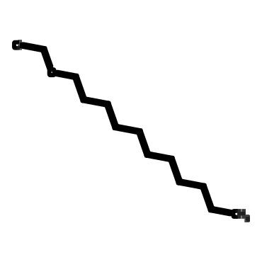 CCCCCCCCCCCOCCl